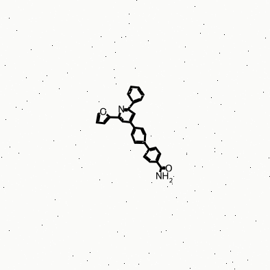 NC(=O)c1ccc(-c2ccc(-c3cc(-c4ccccc4)nc(-c4ccco4)c3)cc2)cc1